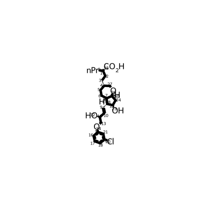 CCCC(CC[C@H]1CC[C@@H]2[C@@H](C=C[C@H](O)COc3cccc(Cl)c3)[C@H](O)C[C@@H]2OC1)C(=O)O